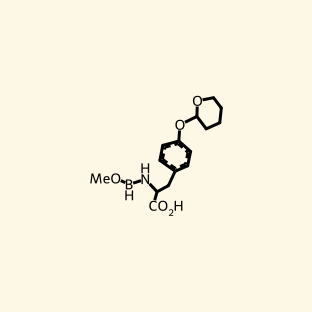 COBNC(Cc1ccc(OC2CCCCO2)cc1)C(=O)O